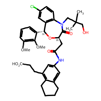 COc1cccc([C@H]2O[C@H](CC(=O)Nc3cc4c(c(CCC(=O)O)c3)CCCC4)C(=O)N(CC(C)(C)CO)c3ccc(Cl)cc32)c1OC